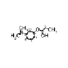 CCC(O)Oc1cccc(N(C)C)c1